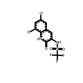 O=c1[nH]c2c(Cl)cc(Cl)cc2cc1NS(=O)(=O)C(F)(F)F